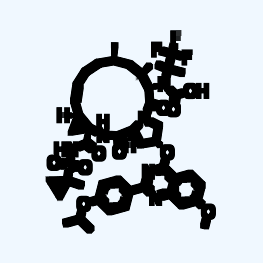 COc1ccc2c(O[C@@H]3C[C@H]4C(=O)N[C@]5(C(=O)NS(=O)(=O)C6(C)CC6)C[C@H]5C=CCC[C@@H](C)C[C@@H](C)[C@H](N(C(=O)O)C(C)(C)C(F)(F)F)C(=O)N4C3)nc(-c3ccc(OC(C)C)cc3)nc2c1